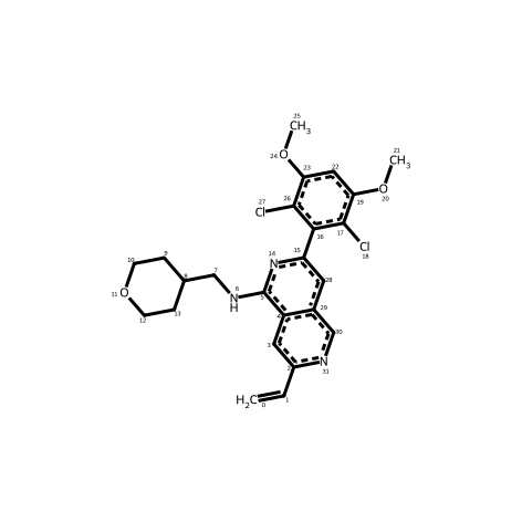 C=Cc1cc2c(NCC3CCOCC3)nc(-c3c(Cl)c(OC)cc(OC)c3Cl)cc2cn1